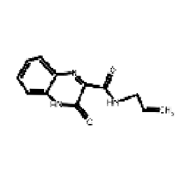 C=CCNC(=O)c1nc2ccccc2[nH]c1=O